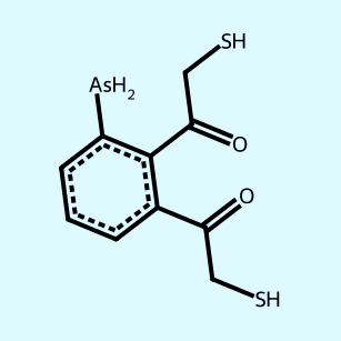 O=C(CS)c1cccc([AsH2])c1C(=O)CS